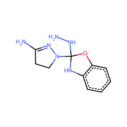 NNC1(N2CCC(N)=N2)Nc2ccccc2O1